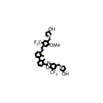 COc1cc(/C=C/c2cccc(-c3cccc(-c4nc5cc(CN6CC[C@@H](O)C6)cc(C(F)(F)F)c5o4)c3C)c2C)c(C(F)(F)F)cc1CN1CC[C@@H](O)C1